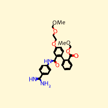 COCOCCOc1ccc(-c2ccccc2C(=O)OCOC)c(C(=O)Nc2ccc(C(=N)N)cc2)c1